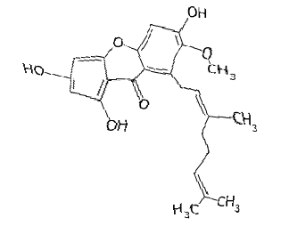 COc1c(O)cc2oc3cc(O)cc(O)c3c(=O)c2c1CC=C(C)CCC=C(C)C